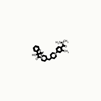 Cc1cc(N2CCC(CC3CCN(C(=O)C(O)(c4ccccc4)C(F)(F)F)CC3)CC2)ccc1C(=O)N(C)C